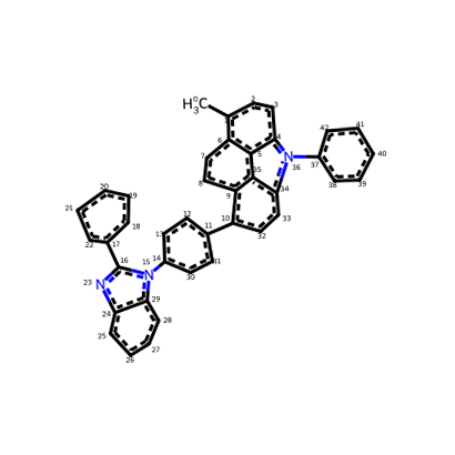 Cc1ccc2c3c1ccc1c(-c4ccc(-n5c(-c6ccccc6)nc6ccccc65)cc4)ccc(c13)n2-c1ccccc1